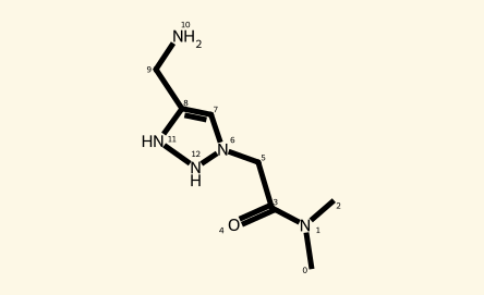 CN(C)C(=O)CN1C=C(CN)NN1